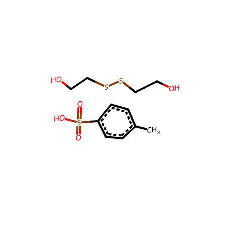 Cc1ccc(S(=O)(=O)O)cc1.OCCSSCCO